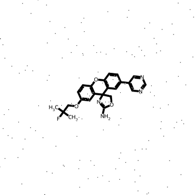 CC(C)(F)COc1ccc2c(c1)C1(COC(N)=N1)c1cc(-c3cncnc3)ccc1O2